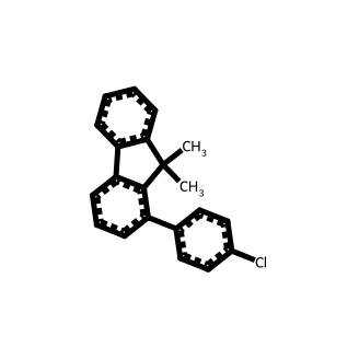 CC1(C)c2ccccc2-c2cccc(-c3ccc(Cl)cc3)c21